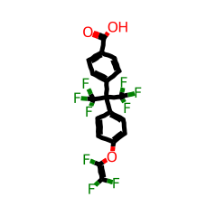 O=C(O)c1ccc(C(c2ccc(OC(F)=C(F)F)cc2)(C(F)(F)F)C(F)(F)F)cc1